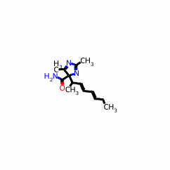 CC/C=C/C=C/C(C)C1(C(N)=O)N=C(C)N=C1C